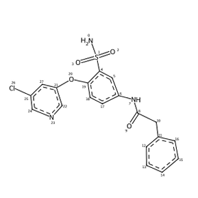 NS(=O)(=O)c1cc(NC(=O)Cc2ccccc2)ccc1Oc1cncc(Cl)c1